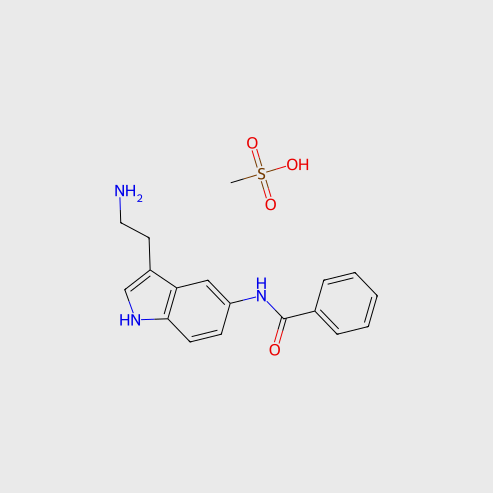 CS(=O)(=O)O.NCCc1c[nH]c2ccc(NC(=O)c3ccccc3)cc12